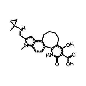 Cn1c(CNC2(C)CC2)cc2c3c(ccc21)-c1[nH]c(=O)c(C(=O)O)c(O)c1CCCC3